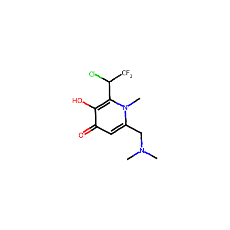 CN(C)Cc1cc(=O)c(O)c(C(Cl)C(F)(F)F)n1C